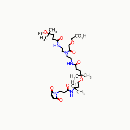 CCOC(C)(C)CCC(=O)NCCN(CCNC(=O)CCC(C)(C)OCCC(C)(C)NC(=O)CCN1C(=O)C=CC1=O)C(=O)COCC(=O)O